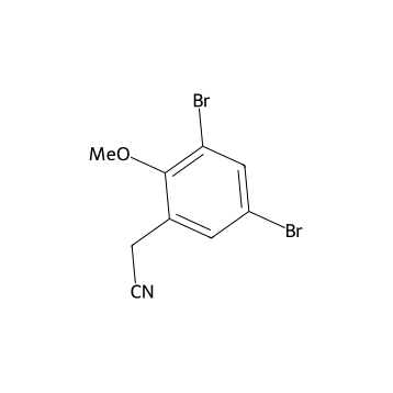 COc1c(Br)cc(Br)cc1CC#N